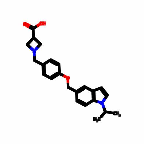 CC(C)n1ccc2cc(COc3ccc(CN4CC(C(=O)O)C4)cc3)ccc21